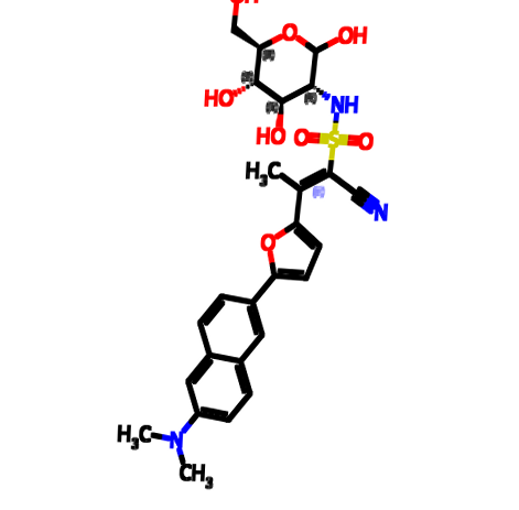 C/C(=C(/C#N)S(=O)(=O)N[C@H]1C(O)O[C@H](CO)[C@@H](O)[C@@H]1O)c1ccc(-c2ccc3cc(N(C)C)ccc3c2)o1